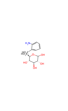 Nc1ccccc1C(=O)O.O=C(O)[C@H]1OC(O)[C@H](O)[C@@H](O)[C@@H]1O